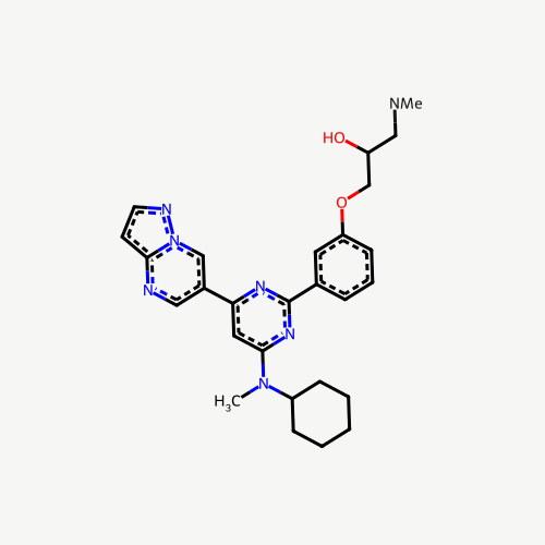 CNCC(O)COc1cccc(-c2nc(-c3cnc4ccnn4c3)cc(N(C)C3CCCCC3)n2)c1